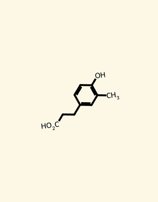 Cc1cc(CCC(=O)O)ccc1O